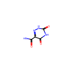 [NH]C(=O)c1n[nH]c(=O)[nH]c1=O